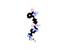 Cn1cc(-c2ccn3c(C(=O)N[C@H]4CC5(C4)C[C@H](c4n[nH]c(=O)c6ccccc64)C5)cnc3c2)cn1